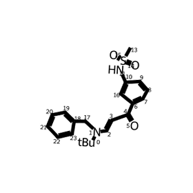 CC(C)(C)N(C=CC(=O)c1cccc(NS(C)(=O)=O)c1)Cc1ccccc1